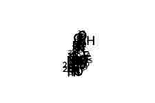 [2H]C([2H])([2H])N1C(=O)c2cccc(OC(F)F)c2[C@H]2C[C@@H]1c1nc3ccc(-c4cnc(C(C)(C)NC(=O)OC)nc4)cc3n12